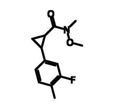 CON(C)C(=O)C1CC1c1ccc(C)c(F)c1